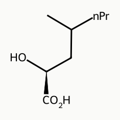 CCCC(C)C[C@H](O)C(=O)O